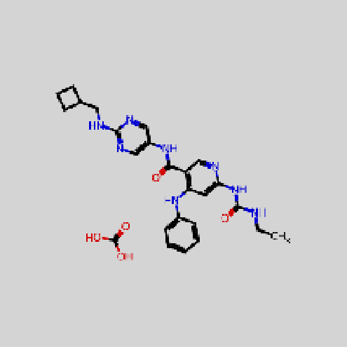 CCNC(=O)Nc1cc(Nc2ccccc2)c(C(=O)Nc2cnc(NCC3CCC3)nc2)cn1.O=C(O)O